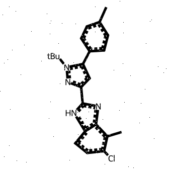 Cc1ccc(-c2cc(-c3nc4c(C)c(Cl)ccc4[nH]3)nn2C(C)(C)C)cc1